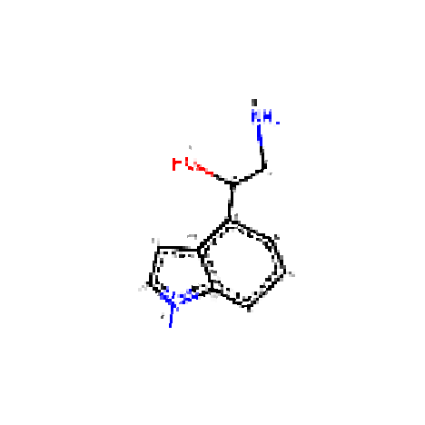 NCC(O)c1cccc2[nH]ccc12